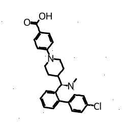 CN(C)[C@@H](c1ccccc1-c1ccc(Cl)cc1)C1CCN(c2ccc(C(=O)O)cc2)CC1